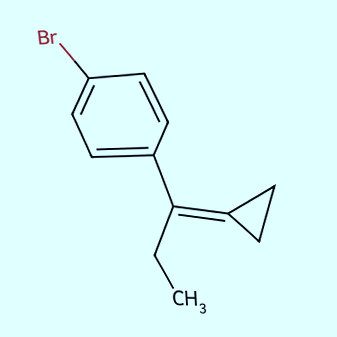 CCC(=C1CC1)c1ccc(Br)cc1